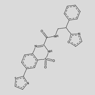 O=C(NCC(c1ccccc1)c1ncco1)C1=Nc2ccc(-c3nccs3)cc2S(=O)(=O)N1